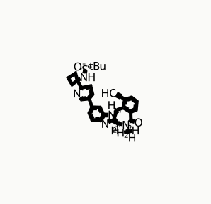 [2H]C([2H])([2H])N1C(=O)c2cccc(C#C)c2[C@H]2C[C@@H]1c1nc3ccc(-c4ccc(C5(N[S+]([O-])C(C)(C)C)CCC5)nc4)cc3n12